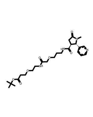 CN1C(=O)C[C@H](C(=O)NCCCOCC(=O)NCCOCCC(=O)OC(C)(C)C)[C@H]1c1cccnc1